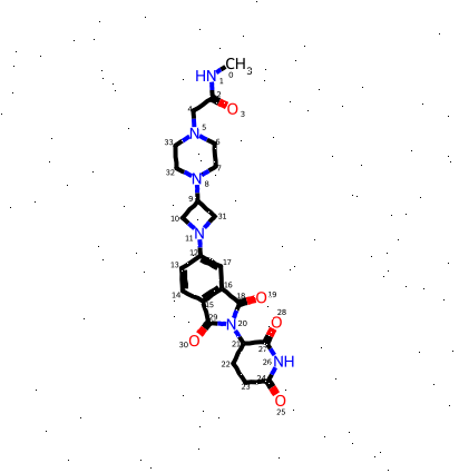 CNC(=O)CN1CCN(C2CN(c3ccc4c(c3)C(=O)N(C3CCC(=O)NC3=O)C4=O)C2)CC1